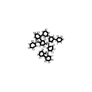 c1ccc(-c2cccc(N(c3cccc(-n4c5ccccc5c5ccccc54)c3)c3ccc4c(c3)c3c(-c5ccccc5)cccc3n4-c3ccccc3)c2)cc1